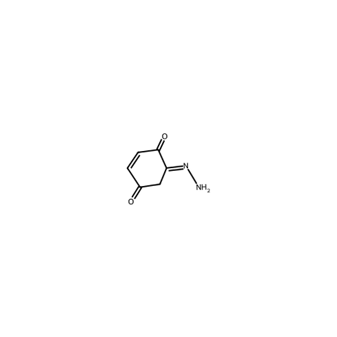 NN=C1CC(=O)C=CC1=O